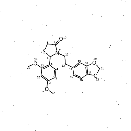 COc1ccc(C2SCC(=O)N2CCc2ccc3c(c2)OCO3)c(OC)c1